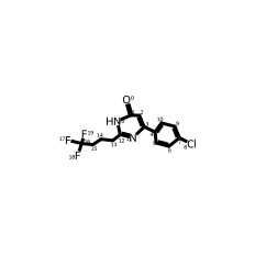 O=c1cc(-c2ccc(Cl)cc2)nc(CCCC(F)(F)F)[nH]1